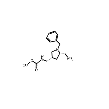 CC(C)(C)OC(=O)NC[C@H]1C[C@@H](CN)N(Cc2ccccc2)C1